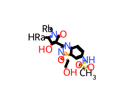 CS(=O)(=O)NC1=CC2C(=NC(C3=C(O)[CH]([RaH])[N]([Rb])C3=O)=NP2(=O)CCO)C=C1